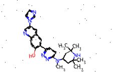 CN(c1ccc(-c2cc3cc(-n4ccnc4)cnc3cc2O)nn1)C1CC(C)(C)NC(C)(C)C1